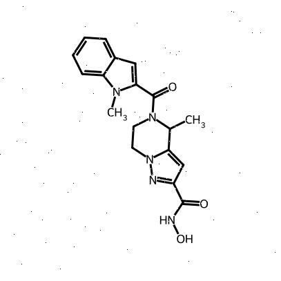 CC1c2cc(C(=O)NO)nn2CCN1C(=O)c1cc2ccccc2n1C